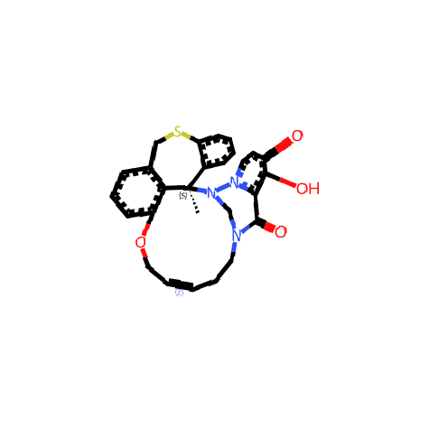 C[C@@]12c3ccccc3SCc3cccc(c31)OC/C=C\CCN1CN2n2ccc(=O)c(O)c2C1=O